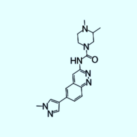 CC1CN(C(=O)Nc2cc3cc(-c4cnn(C)c4)ccc3nn2)CCN1C